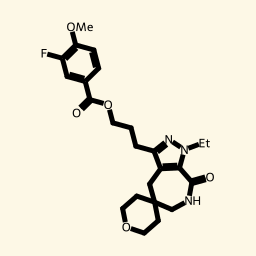 CCn1nc(CCCOC(=O)c2ccc(OC)c(F)c2)c2c1C(=O)NCC1(CCOCC1)C2